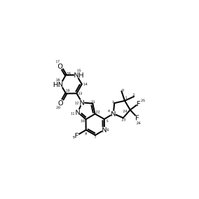 CC1(C)CN(c2ncc(F)c3nn(-c4c[nH]c(=O)[nH]c4=O)cc23)CC1(F)F